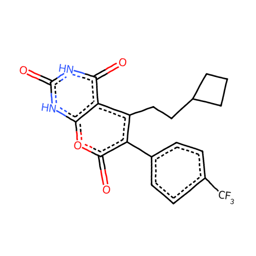 O=c1[nH]c(=O)c2c(CCC3CCC3)c(-c3ccc(C(F)(F)F)cc3)c(=O)oc2[nH]1